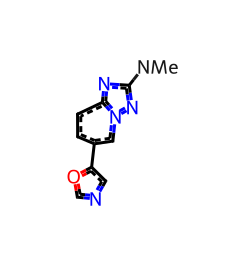 CNc1nc2ccc(-c3cnco3)cn2n1